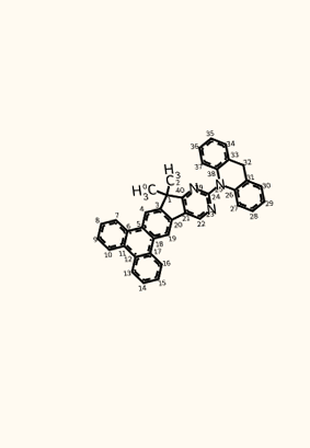 CC1(C)c2cc3c4ccccc4c4ccccc4c3cc2-c2cnc(N3c4ccccc4Cc4ccccc43)nc21